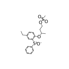 CCc1ccc(OC(C)CCOS(C)(=O)=O)c([S+]([O-])c2ccccc2)c1